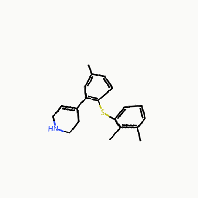 Cc1ccc(Sc2cccc(C)c2C)c(C2=CCNCC2)c1